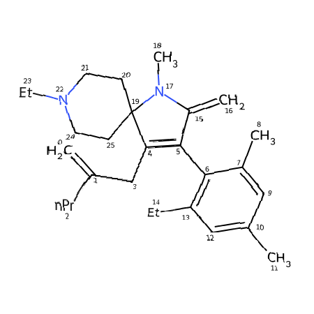 C=C(CCC)CC1=C(c2c(C)cc(C)cc2CC)C(=C)N(C)C12CCN(CC)CC2